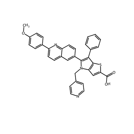 COc1ccc(-c2ccc3cc(-c4c(-c5ccccc5)c5sc(C(=O)O)cc5n4Cc4ccncc4)ccc3n2)cc1